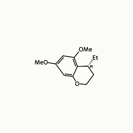 CC[C@@H]1CCOc2cc(OC)cc(OC)c21